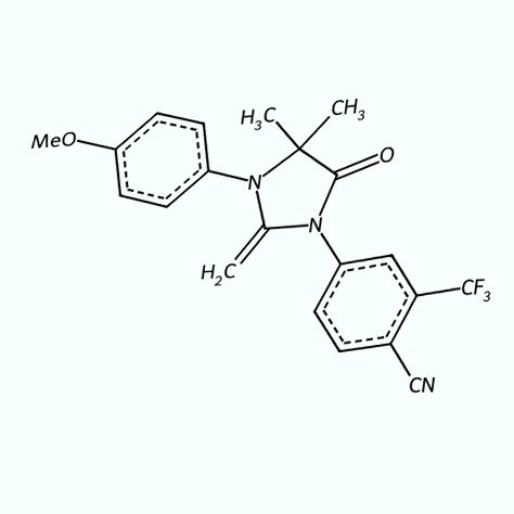 C=C1N(c2ccc(C#N)c(C(F)(F)F)c2)C(=O)C(C)(C)N1c1ccc(OC)cc1